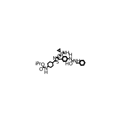 CC(C)OC(=O)NC1CCC(c2ncc(-c3ccc(NC(O)NCc4ccccc4)cc3S(=N)(=O)C3CC3)s2)CC1